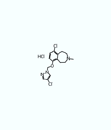 CN1CCc2c(Cl)ccc(OCn3cc(Cl)cn3)c2CC1.Cl